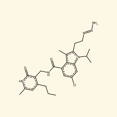 CCCc1cc(C)[nH]c(=O)c1CNC(=O)c1cc(Cl)cc2c1c(C)c(CCN=NN)n2C(C)C